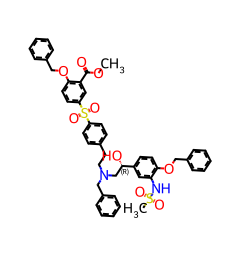 COC(=O)c1cc(S(=O)(=O)c2ccc(CCN(Cc3ccccc3)C[C@H](O)c3ccc(OCc4ccccc4)c(NS(C)(=O)=O)c3)cc2)ccc1OCc1ccccc1